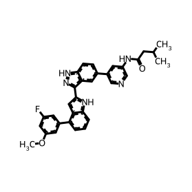 COc1cc(F)cc(-c2cccc3[nH]c(-c4n[nH]c5ccc(-c6cncc(NC(=O)CC(C)C)c6)cc45)cc23)c1